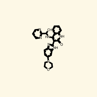 CC(Nc1c(-c2nc3ccc(N4CCOCC4)cc3[nH]2)c(=O)[nH]c2ccccc12)c1ncccn1